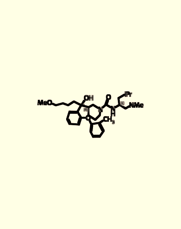 CNC[C@H](CC(C)C)NC(=O)N1CCC[C@@H]([C@@](O)(CCCCOC)c2ccccc2Oc2ccccc2C)C1